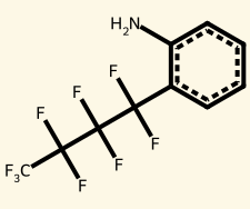 Nc1ccccc1C(F)(F)C(F)(F)C(F)(F)C(F)(F)F